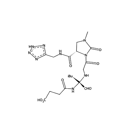 CC[C@H](C)[C@](C=O)(NCC(=O)N1C(=O)N(C)C[C@H]1C(=O)NCc1nn[nH]n1)NC(=O)CCC(=O)O